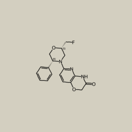 O=C1COc2ccc(N3C[C@@H](CF)OC[C@H]3c3ccccc3)nc2N1